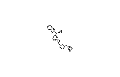 N#CC(c1ccnc(OCc2cccc(Cn3ccnc3)c2)n1)c1nc2ccccc2s1